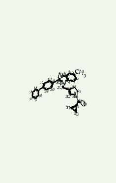 Cc1ccc2c(c1)nc(-c1ccc(-c3ccccc3)cc1)n2CC1CCN(C(=O)C2CC2)C1